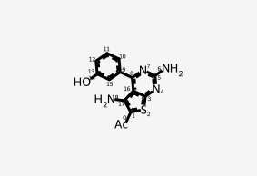 CC(=O)c1sc2nc(N)nc(-c3cccc(O)c3)c2c1N